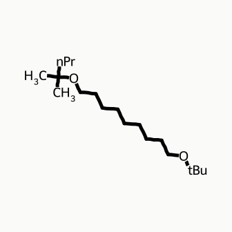 CCCC(C)(C)OCCCCCCCCCOC(C)(C)C